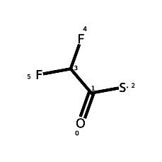 O=C([S])C(F)F